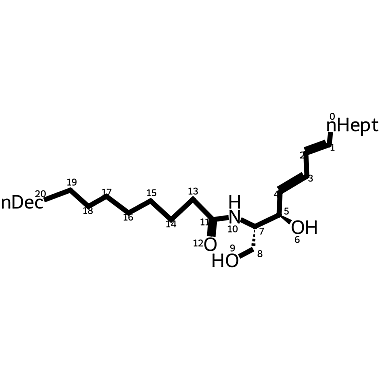 CCCCCCC/C=C/C=C/[C@@H](O)[C@H](CO)NC(=O)CCCCCCCCCCCCCCCCC